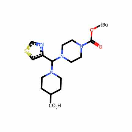 CC(C)(C)OC(=O)N1CCN(C(c2cscn2)N2CCC(C(=O)O)CC2)CC1